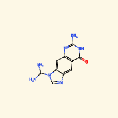 Nc1nc2cc3c(cc2c(=O)[nH]1)ncn3C(N)N